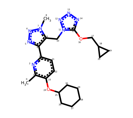 Cc1nc(-c2nnn(C)c2Cn2nnnc2OCC2CC2)ccc1OC1CCCCC1